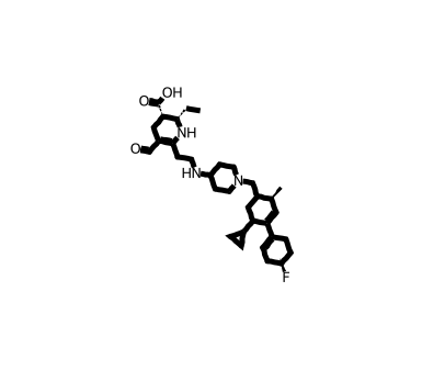 CC[C@@H]1NC(CCNC2CCN(CC3CC(C4CC4)C(C4=CC[C@H](F)CC4)=C[C@@H]3C)CC2)=C(C=O)C[C@@H]1C(=O)O